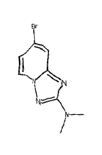 CN(C)c1nc2cc(Br)ccn2n1